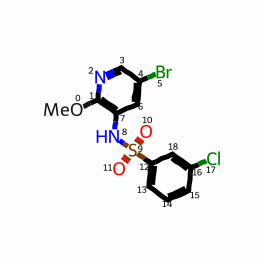 COc1ncc(Br)cc1NS(=O)(=O)c1cccc(Cl)c1